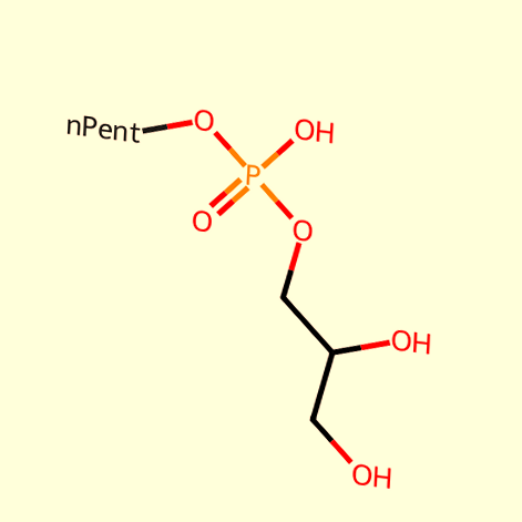 CCCCCOP(=O)(O)OCC(O)CO